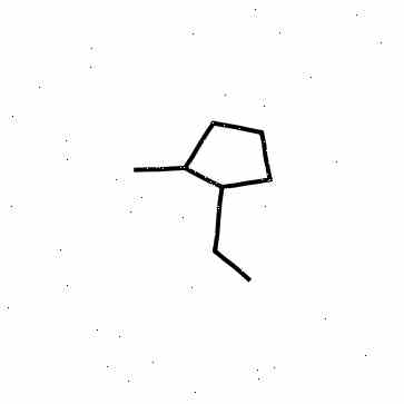 CCC1CCCC1C